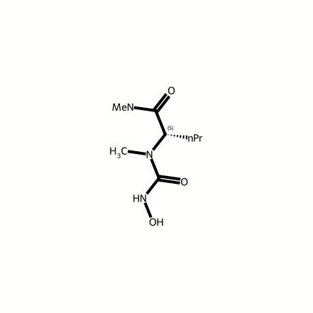 CCC[C@@H](C(=O)NC)N(C)C(=O)NO